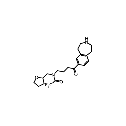 O=C(CCCN(CC1CCCO1)C(=O)C(F)(F)F)c1ccc2c(c1)CCNCC2